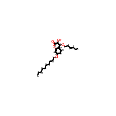 CC/C=C/CCOc1c(O)c(=O)oc2cc(OCCCCCCCCCC)ccc12